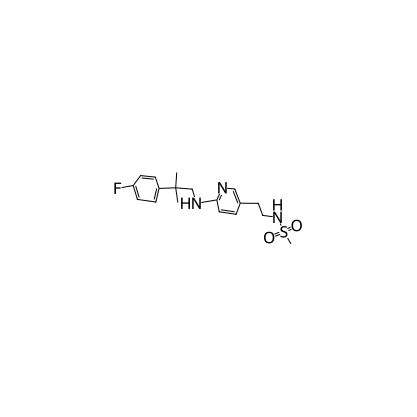 CC(C)(CNc1ccc(CCNS(C)(=O)=O)cn1)c1ccc(F)cc1